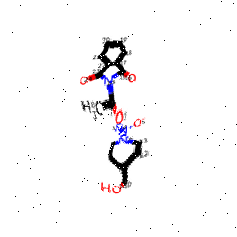 CC(O/N=[N+](\[O-])N1CCC(CO)CC1)N1C(=O)c2ccccc2C1=O